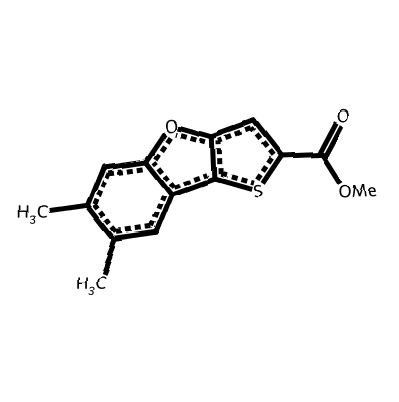 COC(=O)c1cc2oc3cc(C)c(C)cc3c2s1